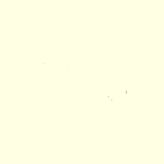 CC(C)N=C=C=CCO